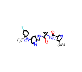 COc1cncc(C(=O)NC2(C(=O)NCc3ccc(Nc4ccc(F)cc4C(F)(F)F)cn3)CC2)c1